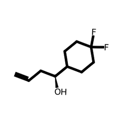 C=CC[C@H](O)C1CCC(F)(F)CC1